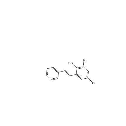 Oc1c(Br)cc(Cl)cc1/C=N/c1ccccc1